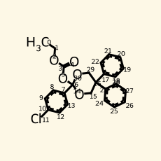 CCOC(=O)OC1(c2ccc(Cl)cc2)OCC(c2ccccc2)(c2ccccc2)CO1